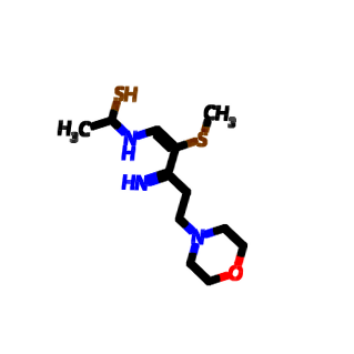 CS/C(=C/NC(C)S)C(=N)CCN1CCOCC1